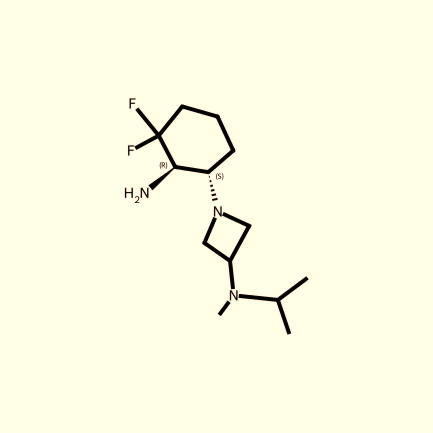 CC(C)N(C)C1CN([C@H]2CCCC(F)(F)[C@@H]2N)C1